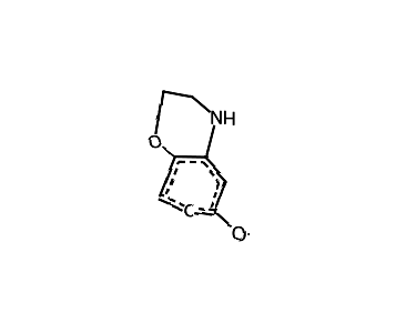 [O]c1ccc2c(c1)NCCO2